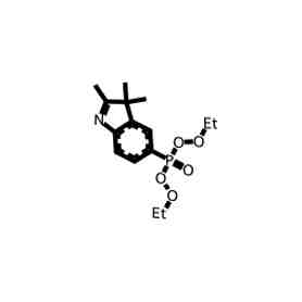 CCOOP(=O)(OOCC)c1ccc2c(c1)C(C)(C)C(C)=N2